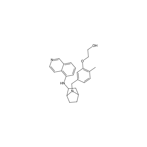 Cc1ccc(CN2C3CCC2C(Nc2cccc4cnccc24)C3)cc1OCCO